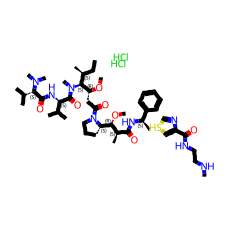 CC[C@H](C)[C@@H]([C@@H](CC(=O)N1CCC[C@H]1[C@H](OC)[C@H](C)C(=O)N[C@H](C[SH]1C=NC(C(=O)NCCNC)=C1)c1ccccc1)OC)N(C)C(=O)[C@@H](NC(=O)[C@H](C(C)C)N(C)C)C(C)C.Cl.Cl